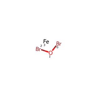 BrOBr.[Fe]